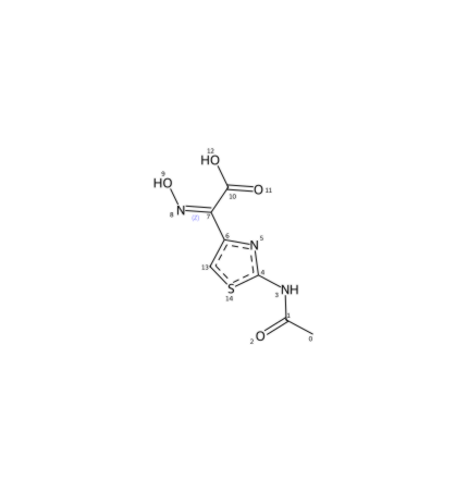 CC(=O)Nc1nc(/C(=N/O)C(=O)O)cs1